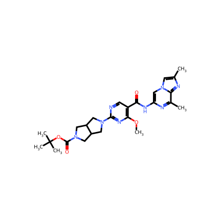 COc1nc(N2CC3CN(C(=O)OC(C)(C)C)CC3C2)ncc1C(=O)Nc1cn2cc(C)nc2c(C)n1